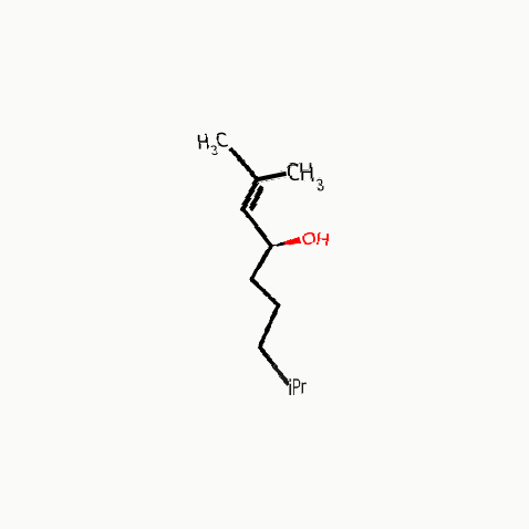 CC(C)=C[C@@H](O)CCCC(C)C